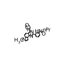 CCCC(=O)Nc1cccc(-c2nc(N3CCOCC3)c3ccc4c(ccn4C)c3n2)c1